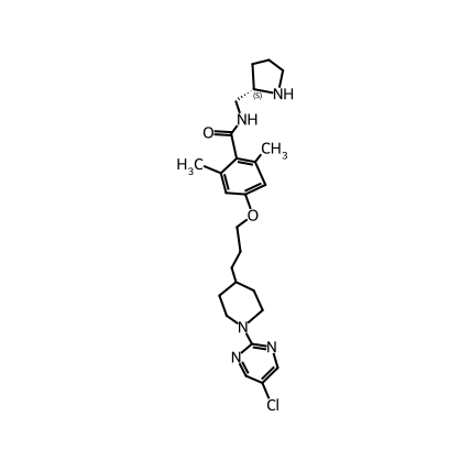 Cc1cc(OCCCC2CCN(c3ncc(Cl)cn3)CC2)cc(C)c1C(=O)NC[C@@H]1CCCN1